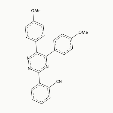 COc1ccc(-c2nnc(-c3ccccc3C#N)nc2-c2ccc(OC)cc2)cc1